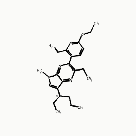 CCOc1ccc(-c2nc3c(nc2CC)c([C@H](CC)CCO)cn3C)c(CC)n1